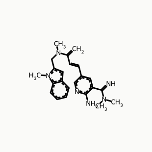 C=C(/C=C/c1cnc(N)c(C(=N)N(C)C)c1)N(C)Cc1cc2ccccc2n1C